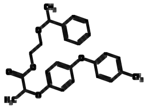 CC(Oc1ccc(Oc2ccc(C(F)(F)F)cc2)cc1)C(=O)OCCOC(C)c1ccccc1